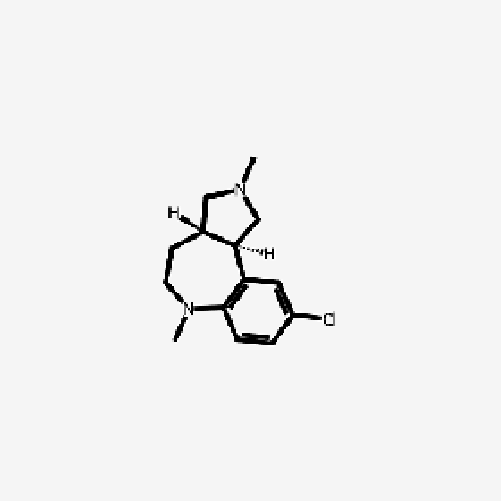 CN1C[C@H]2CCN(C)c3ccc(Cl)cc3[C@@H]2C1